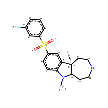 CN1c2ccc(S(=O)(=O)c3cccc(F)c3)cc2[C@H]2CCNCCC21